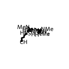 C#CCCCCNC(=S)NC(CNC)(CNC)CNCNCC(C)(CNC)CNC